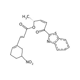 C[C@H](/C=C\C(=O)c1nc2ccccc2s1)OC(=O)/C=C/C1=CCCC([N+](=O)[O-])C1